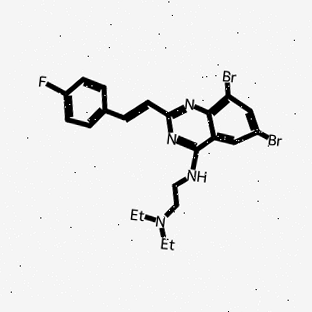 CCN(CC)CCNc1nc(/C=C/c2ccc(F)cc2)nc2c(Br)cc(Br)cc12